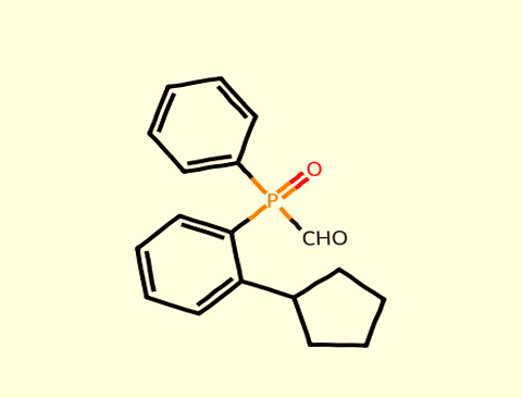 O=CP(=O)(c1ccccc1)c1ccccc1C1CCCC1